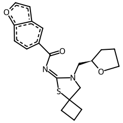 O=C(N=C1SC2(CCC2)CN1C[C@H]1CCCO1)c1ccc2occc2c1